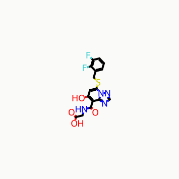 O=C(O)CNC(=O)c1c(O)cc(SCc2cccc(F)c2F)n2ncnc12